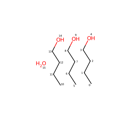 CCCCO.CCCCO.CCCCO.O